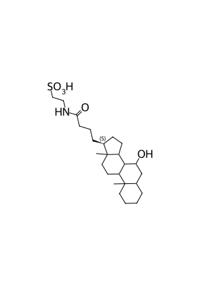 CC12CCCCC1CC(O)C1C2CCC2(C)C1CC[C@@H]2CCCC(=O)NCCS(=O)(=O)O